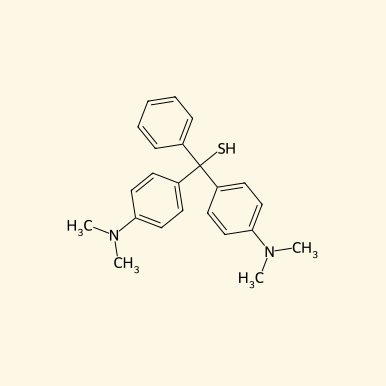 CN(C)c1ccc(C(S)(c2ccccc2)c2ccc(N(C)C)cc2)cc1